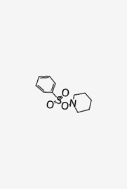 O=S(=O)(ON1CCCCC1)c1ccccc1